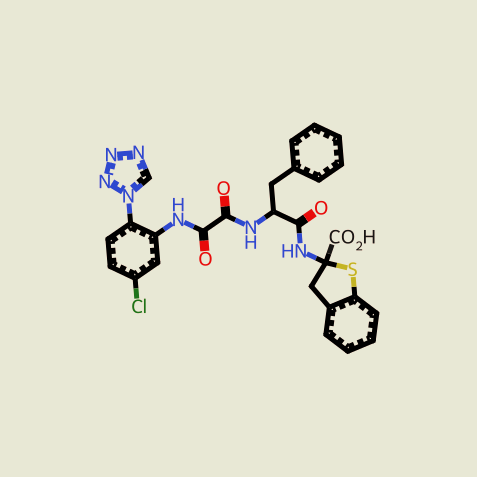 O=C(Nc1cc(Cl)ccc1-n1cnnn1)C(=O)NC(Cc1ccccc1)C(=O)NC1(C(=O)O)Cc2ccccc2S1